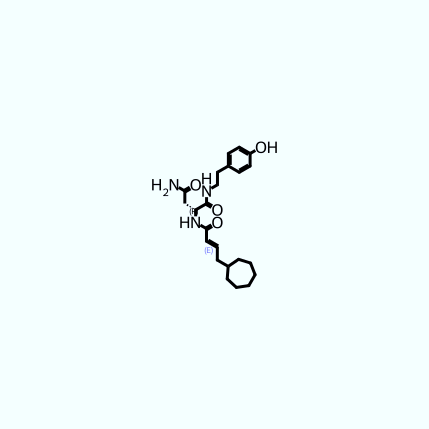 NC(=O)C[C@@H](NC(=O)/C=C/CC1CCCCCC1)C(=O)NCCc1ccc(O)cc1